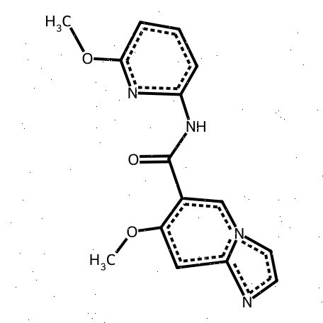 COc1cccc(NC(=O)c2cn3ccnc3cc2OC)n1